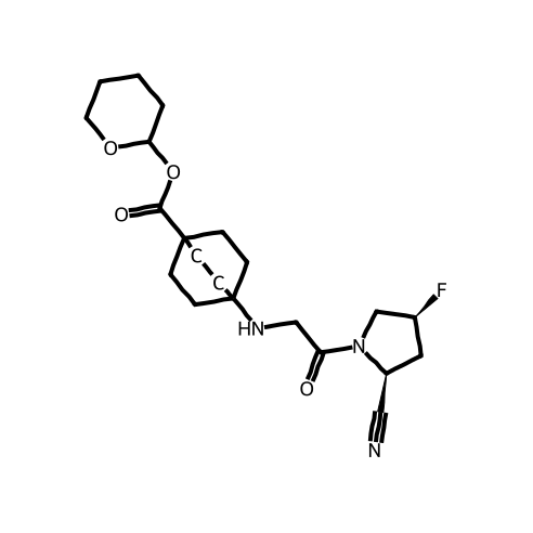 N#C[C@@H]1C[C@H](F)CN1C(=O)CNC12CCC(C(=O)OC3CCCCO3)(CC1)CC2